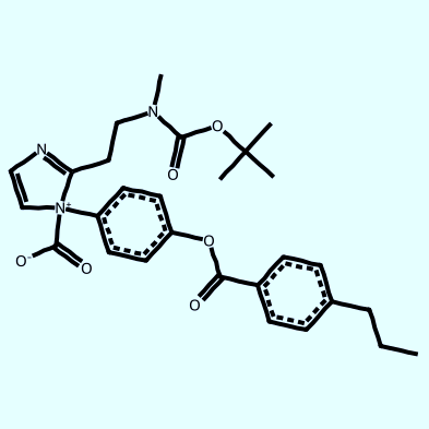 CCCc1ccc(C(=O)Oc2ccc([N+]3(C(=O)[O-])C=CN=C3CCN(C)C(=O)OC(C)(C)C)cc2)cc1